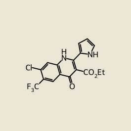 CCOC(=O)c1c(-c2ccc[nH]2)[nH]c2cc(Cl)c(C(F)(F)F)cc2c1=O